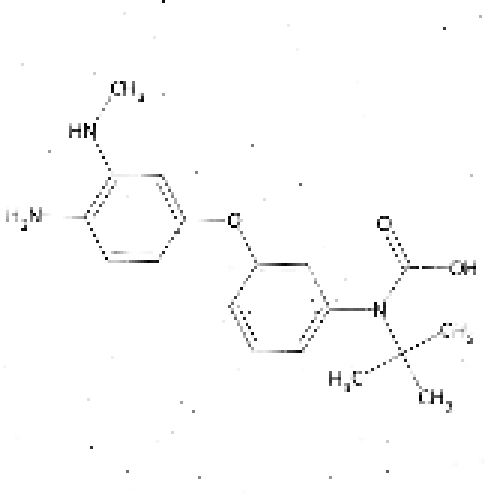 CNc1cc(Oc2cccc(N(C(=O)O)C(C)(C)C)c2)ccc1N